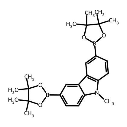 Cn1c2ccc(B3OC(C)(C)C(C)(C)O3)cc2c2cc(B3OC(C)(C)C(C)(C)O3)ccc21